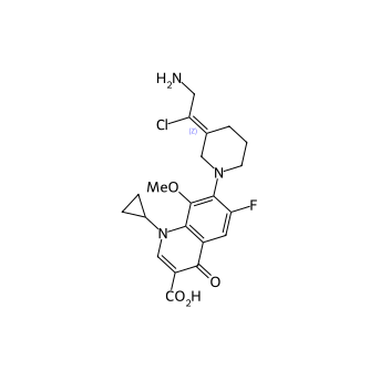 COc1c(N2CCC/C(=C(/Cl)CN)C2)c(F)cc2c(=O)c(C(=O)O)cn(C3CC3)c12